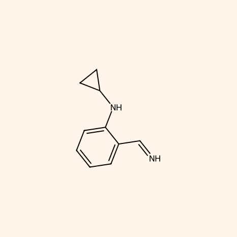 N=Cc1ccccc1NC1CC1